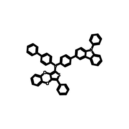 c1ccc(-c2ccc(N(c3ccc(-c4ccc5c(c4)c4ccccc4n5-c4ccccc4)cc3)c3sc(-c4ccccc4)c4c3Oc3ccccc3O4)cc2)cc1